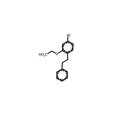 CC(=O)c1ccc(CCc2ccccc2)c(OCC(=O)O)c1